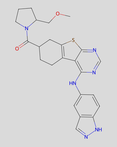 COCC1CCCN1C(=O)C1CCc2c(sc3ncnc(Nc4ccc5[nH]ncc5c4)c23)C1